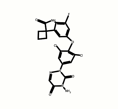 Nn1c(=O)cnn(-c2cc(Cl)c(Oc3cc(F)c4c(c3)C3(CCC3)C(=O)N4)c(Cl)c2)c1=O